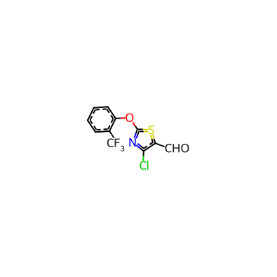 O=Cc1sc(Oc2ccccc2C(F)(F)F)nc1Cl